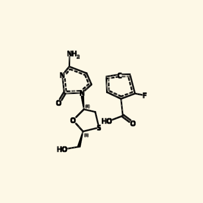 Nc1ccn([C@H]2CS[C@@H](CO)O2)c(=O)n1.O=C(O)c1ccccc1F